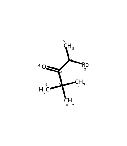 C[CH]([Rb])C(=O)C(C)(C)C